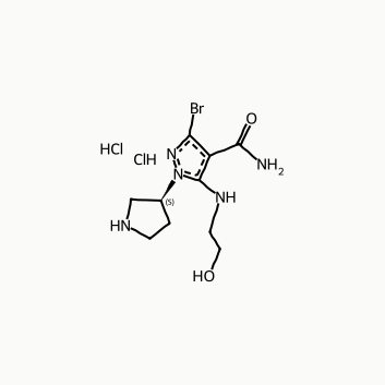 Cl.Cl.NC(=O)c1c(Br)nn([C@H]2CCNC2)c1NCCO